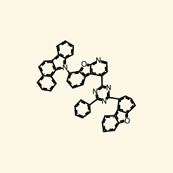 c1ccc(-c2nc(-c3cccc4oc5ccccc5c34)nc(-c3ccnc4oc5c(-n6c7ccccc7c7ccc8ccccc8c76)cccc5c34)n2)cc1